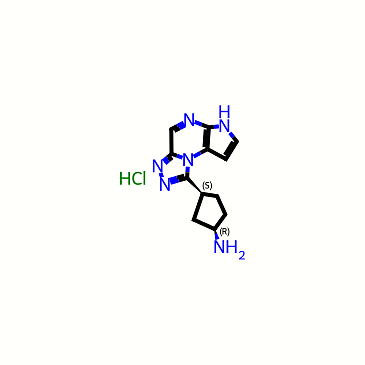 Cl.N[C@@H]1CC[C@H](c2nnc3cnc4[nH]ccc4n23)C1